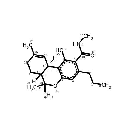 CCCc1cc2c(c(O)c1C(=O)NC)[C@@H]1C=C(C)CC[C@H]1C(C)(C)O2